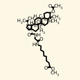 C=C(C)[C@@H]1CC[C@]2(C(=O)NCC(=O)NCCCCCCCC(=O)OC)CC[C@]3(C)[C@H](CCC4[C@@]5(C)CC[C@H](OC(C)=O)C(C)(C)[C@@H]5CC[C@]43C)[C@@H]12